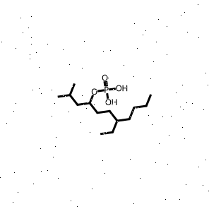 CCCCC(CC)CCC(CC(C)C)OP(=O)(O)O